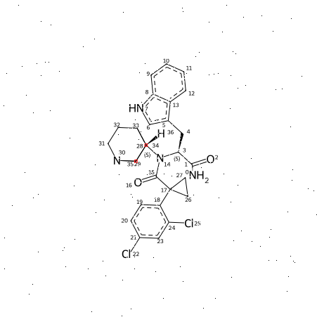 NC(=O)[C@H](Cc1c[nH]c2ccccc12)N(C(=O)C1(c2ccc(Cl)cc2Cl)CC1)[C@@H]1CN2CCC1CC2